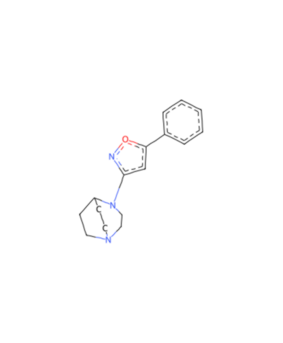 c1ccc(-c2cc(N3CCN4CCC3CC4)no2)cc1